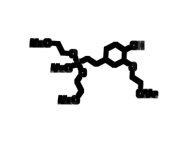 COCCOC1CC(CC[Si](OC)(OCCOC)OCCOC)CCC1O